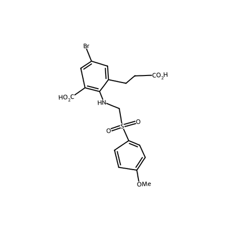 COc1ccc(S(=O)(=O)CNc2c(CCC(=O)O)cc(Br)cc2C(=O)O)cc1